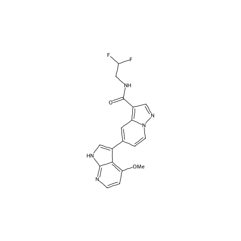 COc1ccnc2[nH]cc(-c3ccn4ncc(C(=O)NCC(F)F)c4c3)c12